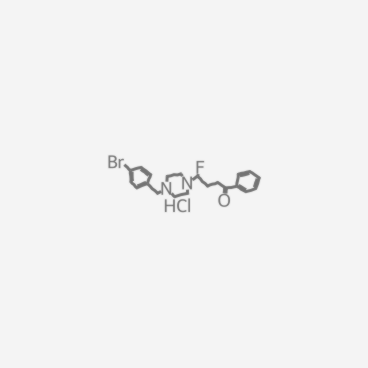 Cl.O=C(CCC(F)N1CCN(Cc2ccc(Br)cc2)CC1)c1ccccc1